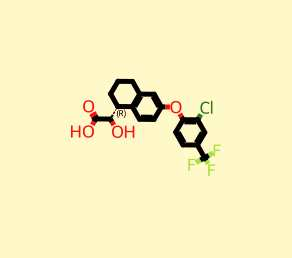 O=C(O)C(O)[C@@H]1CCCc2cc(Oc3ccc(C(F)(F)F)cc3Cl)ccc21